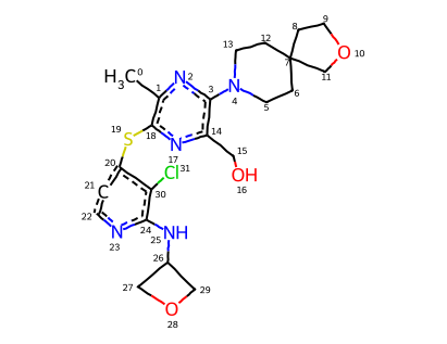 Cc1nc(N2CCC3(CCOC3)CC2)c(CO)nc1Sc1ccnc(NC2COC2)c1Cl